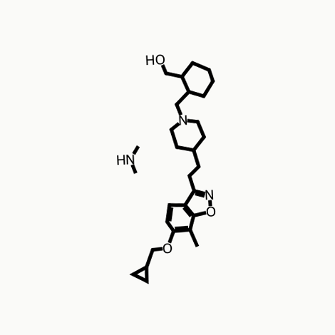 CNC.Cc1c(OCC2CC2)ccc2c(CCC3CCN(CC4CCCCC4CO)CC3)noc12